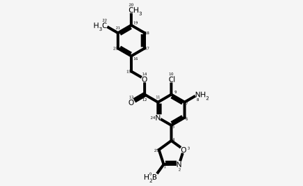 BC1=NOC(c2cc(N)c(Cl)c(C(=O)OCc3ccc(C)c(C)c3)n2)C1